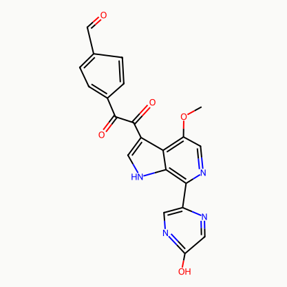 COc1cnc(-c2cnc(O)cn2)c2[nH]cc(C(=O)C(=O)c3ccc(C=O)cc3)c12